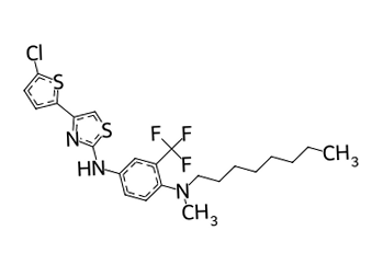 CCCCCCCCN(C)c1ccc(Nc2nc(-c3ccc(Cl)s3)cs2)cc1C(F)(F)F